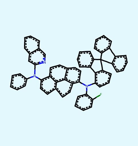 Fc1ccccc1N(c1cccc2c1-c1ccccc1C21c2ccccc2-c2ccccc21)c1ccc2ccc3c(N(c4ccccc4)c4cc5ccccc5cn4)ccc4ccc1c2c43